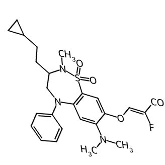 CN(C)c1cc2c(cc1O/C=C(\F)C(=O)O)S(=O)(=O)N(C)C(CCC1CC1)CN2c1ccccc1